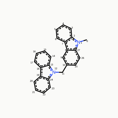 Cn1c2ccccc2c2cc(Cn3c4ccccc4c4ccccc43)ccc21